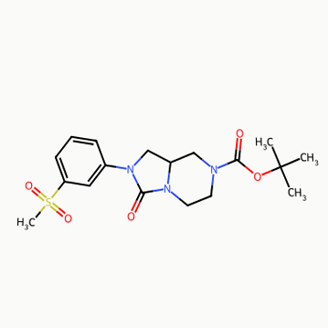 CC(C)(C)OC(=O)N1CCN2C(=O)N(c3cccc(S(C)(=O)=O)c3)CC2C1